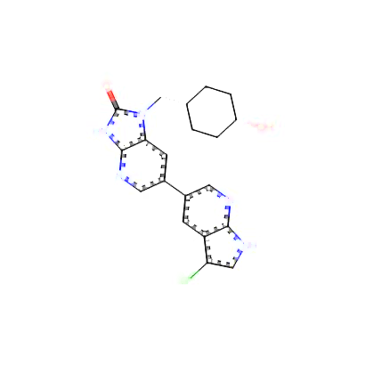 O=c1[nH]c2ncc(-c3cnc4[nH]cc(Cl)c4c3)cc2n1C[C@H]1CC[C@@H](O)CC1